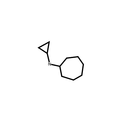 C1CCCC([N]C2CC2)CC1